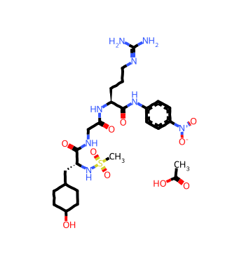 CC(=O)O.CS(=O)(=O)N[C@H](CC1CCC(O)CC1)C(=O)NCC(=O)N[C@@H](CCCN=C(N)N)C(=O)Nc1ccc([N+](=O)[O-])cc1